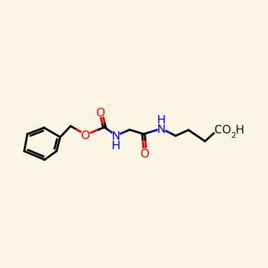 O=C(O)CCCNC(=O)CNC(=O)OCc1ccccc1